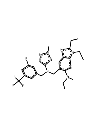 CCc1nc2cc(CN(Cc3cc(F)cc(C(F)(F)F)c3)c3nnn(C)n3)c(N(C)CC)nc2n1CC